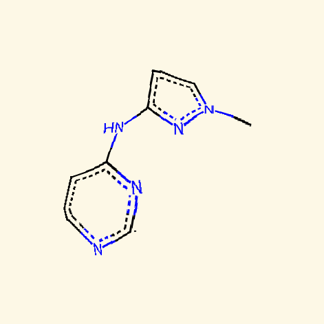 Cn1ccc(Nc2ccn[c]n2)n1